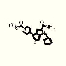 CC(C)(C)OC(=O)N1CC=C(c2cc(F)cc3c2cc(C(N)=O)n3Cc2ccccc2)CC1